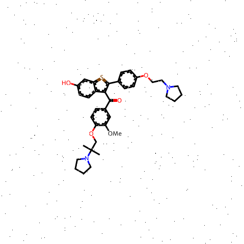 COc1cc(C(=O)c2c(-c3ccc(OCCN4CCCC4)cc3)sc3cc(O)ccc23)ccc1OCC(C)(C)N1CCCC1